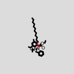 CCCCCCCCCCCCSC(=N[N+](Cc1ccccc1)(C(C)=O)c1c(CC)cc(C)cc1CC)C(=O)OCC